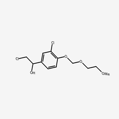 COCCOCOc1ccc(C(O)CCl)cc1Cl